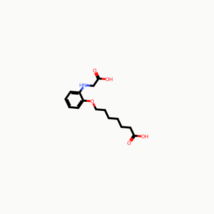 O=C(O)CCCCCCOc1ccccc1NCC(=O)O